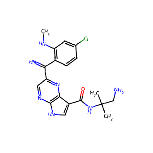 CNc1cc(Cl)ccc1C(=N)c1cnc2[nH]cc(C(=O)NC(C)(C)CN)c2n1